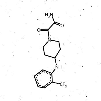 NC(=O)C(=O)N1CCC(Nc2ccccc2C(F)(F)F)CC1